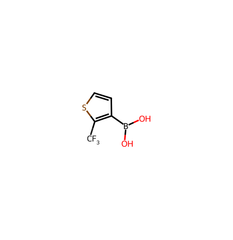 OB(O)c1ccsc1C(F)(F)F